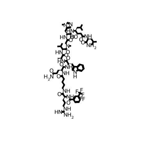 CC(C)C[C@H](NC(=O)C[C@H](O)[C@H](CC(C)C)NC(=O)[C@H](Cc1cncn1C)NC(=O)CN(C)C(=O)[C@@H](NC(=O)[C@H](C)NC(=O)[C@H](Cc1c[nH]c2ccccc12)NC(=O)[C@H](CCC(N)=O)NC(=O)CCCCNC(=O)[C@H](CCCNC(=N)N)NC(=O)c1ccc([18F])c(C(F)(F)F)c1)C(C)C)C(N)=O